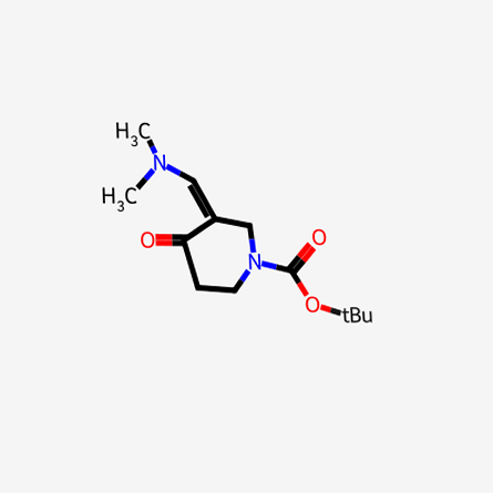 CN(C)/C=C1/CN(C(=O)OC(C)(C)C)CCC1=O